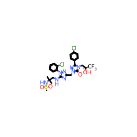 CC(C)(CNc1nc(Cn2nc(-c3ccc(Cl)cc3)n(C[C@H](O)C(F)(F)F)c2=O)nn1-c1ccccc1Cl)NS(C)(=O)=O